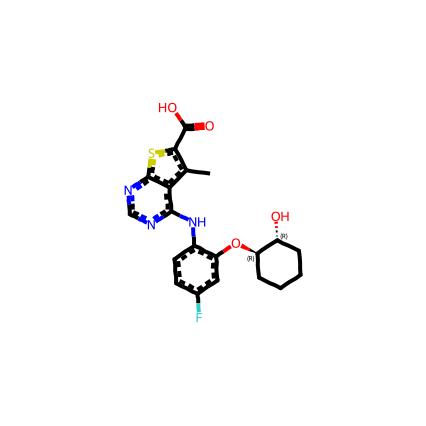 Cc1c(C(=O)O)sc2ncnc(Nc3ccc(F)cc3O[C@@H]3CCCC[C@H]3O)c12